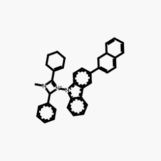 CN1C(C2=CCCCC2)=[N+](n2c3ccccc3c3cc(C4=CC=C5C=CC=CC5C4)ccc32)C1c1ccccc1